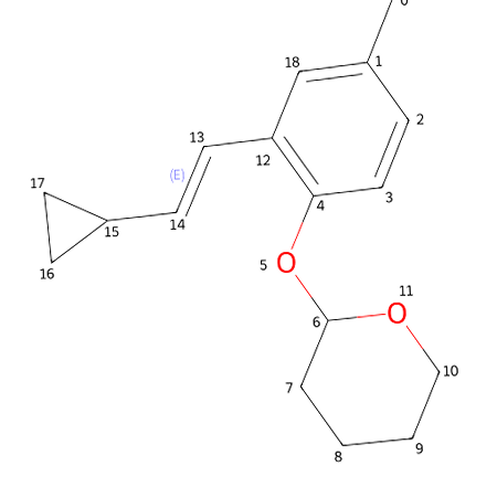 Cc1ccc(OC2CCCCO2)c(/C=C/C2CC2)c1